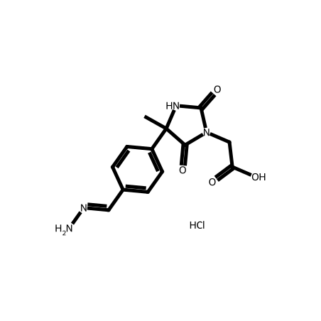 CC1(c2ccc(C=NN)cc2)NC(=O)N(CC(=O)O)C1=O.Cl